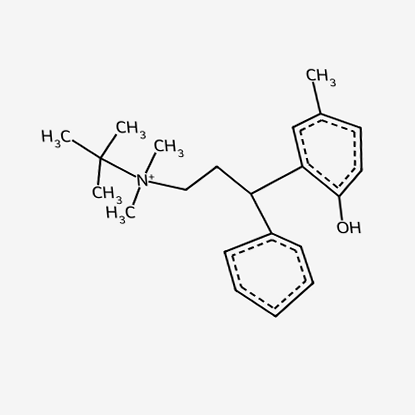 Cc1ccc(O)c(C(CC[N+](C)(C)C(C)(C)C)c2ccccc2)c1